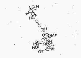 CC[C@H]1OC(=O)[C@H](C)[C@@H](O[C@H]2C[C@@](C)(OC)[C@@H](OC(=O)CCNCCOCCOCCNc3cc4c(cc3F)c(=O)c(C(=O)O)cn4C3CC3)[C@H](C)O2)[C@H](C)[C@@H](O[C@@H]2O[C@H](C)C[C@H](N(C)C)[C@H]2O)[C@](C)(OC)C[C@@H](C)C(=O)[C@H](C)[C@@H](O)[C@]1(C)O